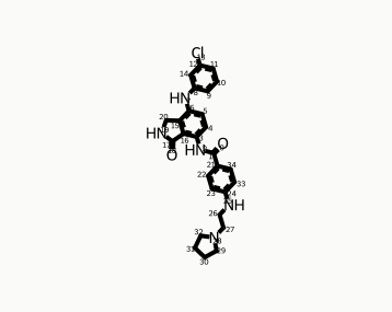 O=C(Nc1ccc(Nc2cccc(Cl)c2)c2c1C(=O)NC2)c1ccc(NCCN2CCCC2)cc1